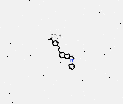 C=C(C(=O)O)c1ccc(C=Cc2ccc3cc4c(ccn4-c4ccccc4)cc3c2)cc1